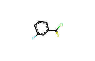 Fc1cccc(C(=S)Cl)c1